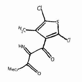 COC(=O)C(=N)C(=O)c1c(Cl)sc(Cl)c1C